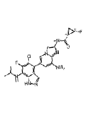 CC(C)Nc1c(F)c(Cl)c(-c2cc(N)c3nc(NC(=O)[C@@H]4C[C@@H]4F)cn3c2)c2cn[nH]c12